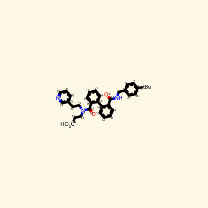 CC(C)(C)c1ccc(CNC(=O)c2ccccc2-c2ccccc2C(=O)N(CCC(=O)O)CCc2cccnc2)cc1